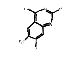 FC(F)(F)c1cc2c(Cl)nc(Cl)nc2cc1Br